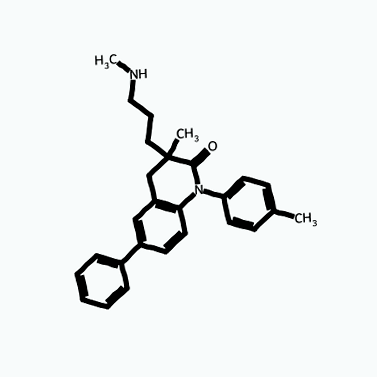 CNCCCC1(C)Cc2cc(-c3ccccc3)ccc2N(c2ccc(C)cc2)C1=O